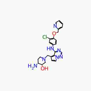 N[C@@H]1CCN(Cc2ccn3ncnc(Nc4ccc(OCc5ccccn5)c(Cl)c4)c23)C[C@H]1O